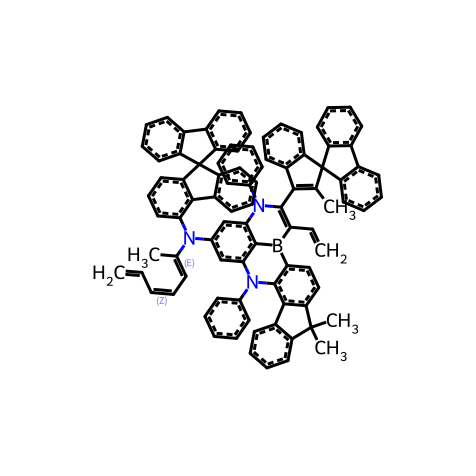 C=C/C=C\C=C(/C)N(c1cc2c3c(c1)N(c1ccccc1)c1c(ccc4c1-c1ccccc1C4(C)C)B3C(C=C)=C(C1=C(C)C3(c4ccccc41)c1ccccc1-c1ccccc13)N2c1ccccc1)c1cccc2c1-c1ccccc1C21c2ccccc2-c2ccccc21